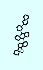 c1cc(-c2ccc3ccccc3c2)cc(-c2c3ccccc3c(-c3cccc4c3ccc3c5ccccc5oc43)c3ccccc23)c1